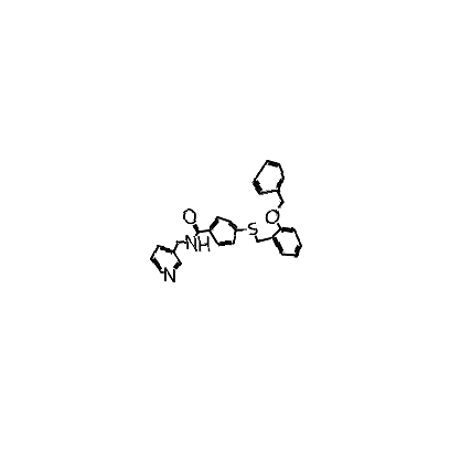 O=C(NCc1cccnc1)c1ccc(SCc2ccccc2OCc2ccccc2)cc1